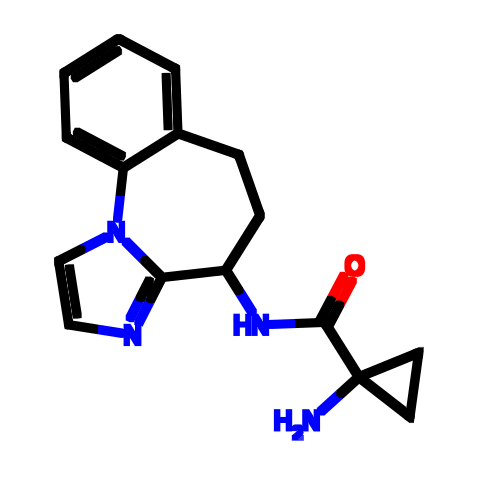 NC1(C(=O)NC2CCc3ccccc3-n3ccnc32)CC1